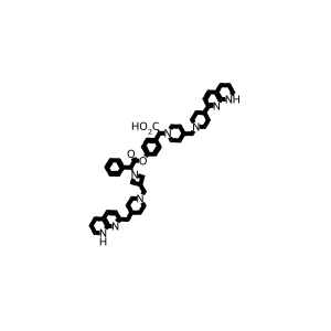 O=C(Oc1ccc([C@H](C(=O)O)N2CCC(CN3CCC(c4ccc5c(n4)NCCC5)CC3)CC2)cc1)[C@H](c1ccccc1)N1CC(CN2CCC(Cc3ccc4c(n3)NCCC4)CC2)C1